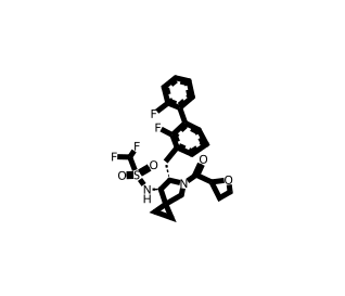 O=C(C1CCO1)N1CC2(CC2)[C@H](NS(=O)(=O)C(F)F)[C@@H]1Cc1cccc(-c2ccccc2F)c1F